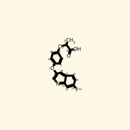 CC(Oc1ccc(Oc2cnc3cc(F)ccc3c2)cc1)C(=O)O